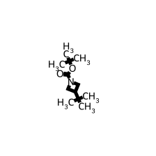 CC(C)(C)OC(=O)N1CC(C(C)(C)C)C1